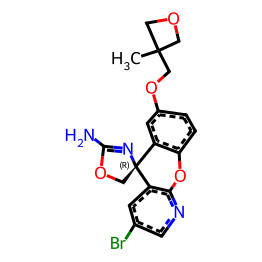 CC1(COc2ccc3c(c2)[C@]2(COC(N)=N2)c2cc(Br)cnc2O3)COC1